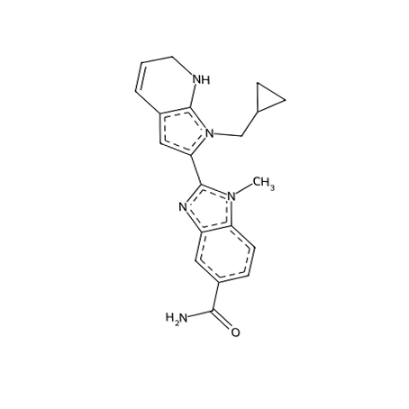 Cn1c(-c2cc3c(n2CC2CC2)NCC=C3)nc2cc(C(N)=O)ccc21